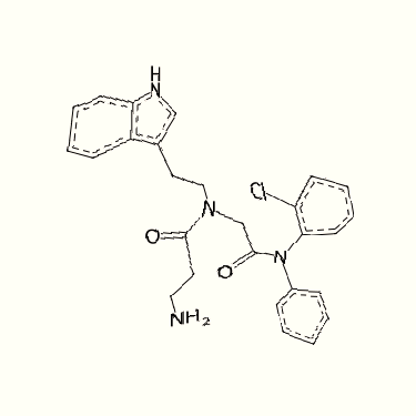 NCCC(=O)N(CCc1c[nH]c2ccccc12)CC(=O)N(c1ccccc1)c1ccccc1Cl